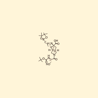 CC(C)(C)OC(=O)N[C@@H](CO)C(=O)N1C[C@@H]2C[C@@](N)(C(=O)O)[C@@H](CCCB3OC(C)(C)C(C)(C)O3)[C@@H]2C1